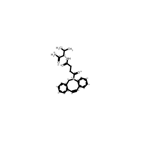 CC(C)[C@H](NC(=O)CCC(=O)N1Cc2ccccc2C#Cc2ccccc21)C(N)=O